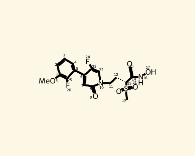 COc1cccc(-c2cc(=O)n(CC[C@H](C(=O)NO)S(C)(=O)=O)cc2F)c1F